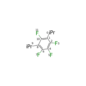 CC(C)c1c(F)c(F)c(F)c(C(C)C)c1F